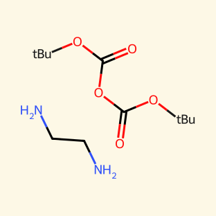 CC(C)(C)OC(=O)OC(=O)OC(C)(C)C.NCCN